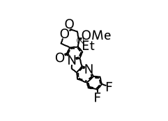 CC[C@@]1(OC)CC(=O)OCc2c1cc1n(c2=O)Cc2cc3cc(F)c(F)cc3nc2-1